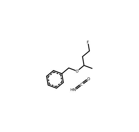 CC(CCF)OCc1ccccc1.N=C=O